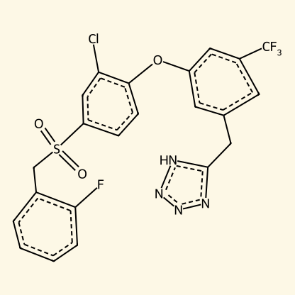 O=S(=O)(Cc1ccccc1F)c1ccc(Oc2cc(Cc3nnn[nH]3)cc(C(F)(F)F)c2)c(Cl)c1